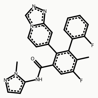 Cc1c(F)cc(C(=O)Nc2ccnn2C)c(-c2ccn3cnnc3c2)c1-c1ccccc1F